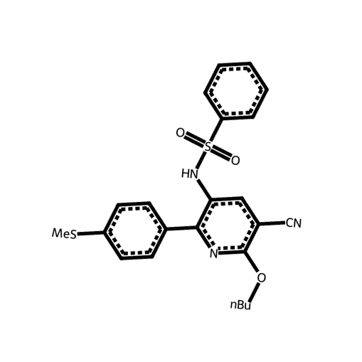 CCCCOc1nc(-c2ccc(SC)cc2)c(NS(=O)(=O)c2ccccc2)cc1C#N